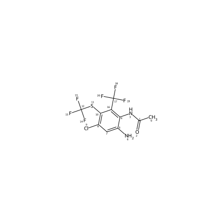 CC(=O)Nc1c(N)cc(Cl)c(SC(F)(F)F)c1C(F)(F)F